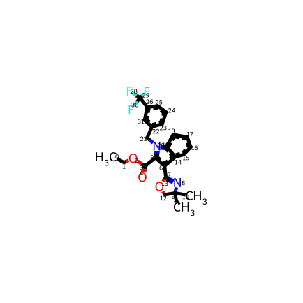 CCOC(=O)c1c(C2=NC(C)(C)CO2)c2ccccc2n1Cc1cccc(C(F)(F)F)c1